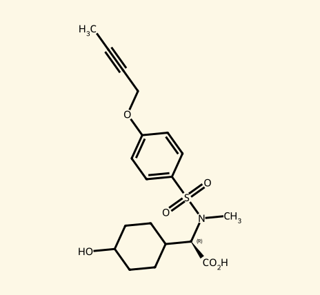 CC#CCOc1ccc(S(=O)(=O)N(C)[C@@H](C(=O)O)C2CCC(O)CC2)cc1